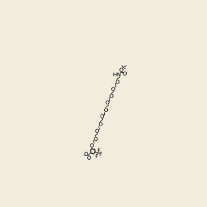 COC(=O)c1cc(OCCOCCOCCOCCOCCOCCOCCOCCOCCOCCNC(=O)OC(C)(C)C)cc(C(F)(F)F)c1